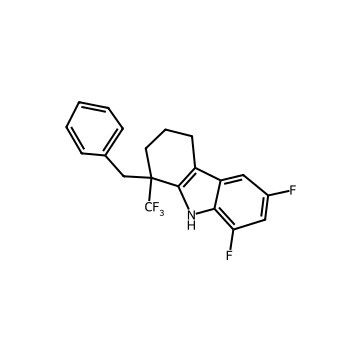 Fc1cc(F)c2[nH]c3c(c2c1)CCCC3(Cc1ccccc1)C(F)(F)F